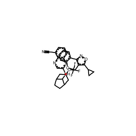 N#Cc1cccc2nc(NC3C4CCC3CC(OCc3c(-c5ccccc5OC(F)(F)F)noc3C3CC3)C4)cnc12